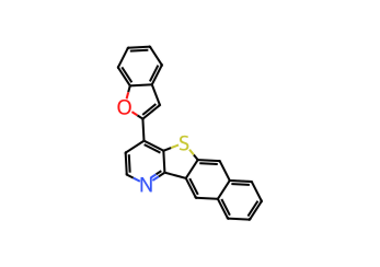 c1ccc2cc3c(cc2c1)sc1c(-c2cc4ccccc4o2)ccnc13